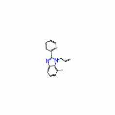 C=CCn1c(-c2ccccc2)nc2cccc(C)c21